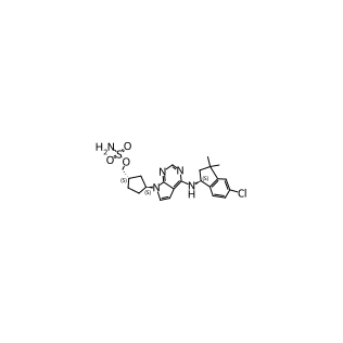 CC1(C)C[C@H](Nc2ncnc3c2ccn3[C@H]2CC[C@H](COS(N)(=O)=O)C2)c2ccc(Cl)cc21